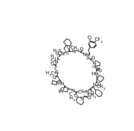 CC(C)C[C@H]1C(=O)N[C@@H](C2CCC2)C(=O)N(C)CC(=O)N(C)CC(=O)N(C)[C@@H](CC2CCCCC2)C(=O)N(C)CC(=O)N[C@@H](CCc2ccc(C(F)(F)F)c(Cl)c2)C(=O)N2CCC[C@H]2C(=O)NC2(CCCC2)C(=O)N(C)[C@@H](C2CCCCC2)C(=O)N(C)[C@H](C(=O)N2CCCCC2)CC(=O)N1C